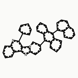 c1ccc(-c2nc3ccccc3c3nc4ccc(-c5c6ccccc6c(-c6cccc7ccccc67)c6ccccc56)cn4c23)cc1